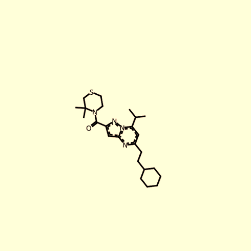 CC(C)c1cc(CCC2CCCCC2)nc2cc(C(=O)N3CCSCC3(C)C)nn12